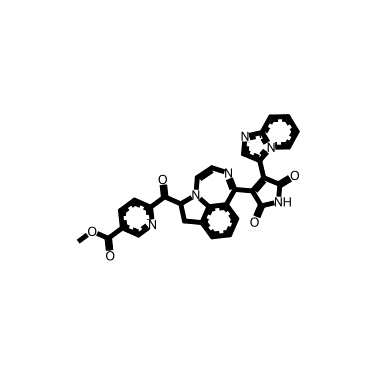 COC(=O)c1ccc(C(=O)C2Cc3cccc4c3N2C=CN=C4C2=C(c3cnc4ccccn34)C(=O)NC2=O)nc1